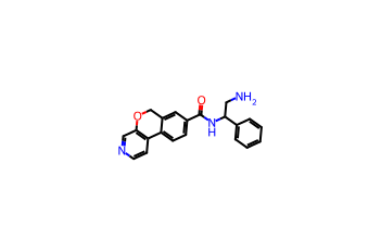 NCC(NC(=O)c1ccc2c(c1)COc1cnccc1-2)c1ccccc1